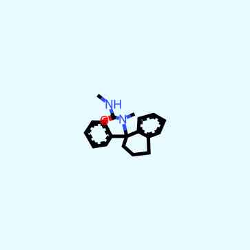 CNC(=O)N(C)C1(c2ccccc2)CCCc2ccccc21